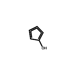 OC1=C=C=C=C1